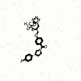 CS(=O)(=O)O[C@H](COc1ccc(C(=O)N2CC[C@H](c3ccc(F)cc3)C2)cc1)Cn1cnnn1